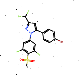 CS(=O)(=O)c1c(F)cc(-n2nc(C(F)F)cc2-c2ccc(Br)cc2)cc1F